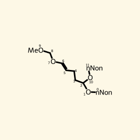 CCCCCCCCCOC(CCC=COCOC)OCCCCCCCCC